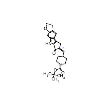 COc1ccc2c3c([nH]c2c1)C(=O)/C(=C\C1CCN(C(=O)OC(C)(C)C)CC1)C3